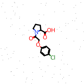 O=C(O)C1CCCN1C(=O)COc1ccc(Cl)cc1